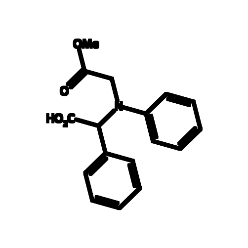 COC(=O)CN(c1ccccc1)C(C(=O)O)c1ccccc1